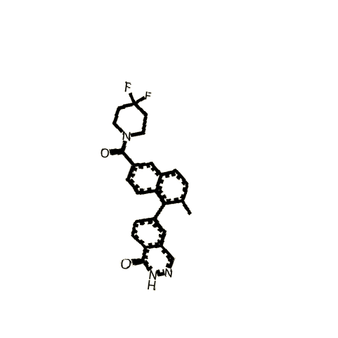 Cc1ccc2cc(C(=O)N3CCC(F)(F)CC3)ccc2c1-c1ccc2c(=O)[nH]ncc2c1